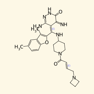 Cc1ccc2oc(/C(NC3CCN(C(=O)/C=C/CN4CCC4)CC3)=C3/C(=N)C(=O)NN=C3N)c(C)c2c1